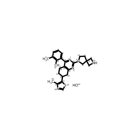 Cc1cccc(-c2nc(N3CCC4(CNC4)C3)nc3c2CCC(c2scnc2C)C3)c1C.Cl